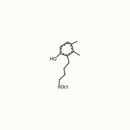 CCCCCCCCCCCCc1c(O)ccc(C)c1C